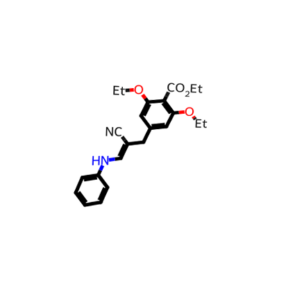 CCOC(=O)c1c(OCC)cc(C/C(C#N)=C/Nc2ccccc2)cc1OCC